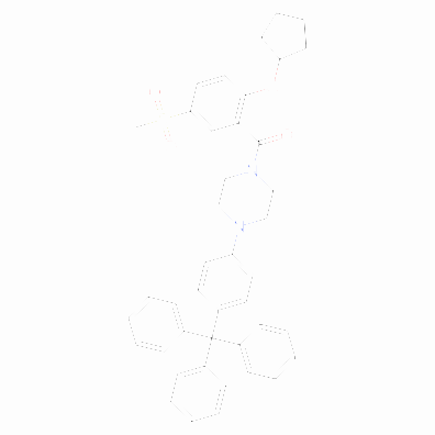 CS(=O)(=O)c1ccc(OC2CCCC2)c(C(=O)N2CCN(c3ccc(C(c4ccccc4)(c4ccccc4)c4ccccc4)cc3)CC2)c1